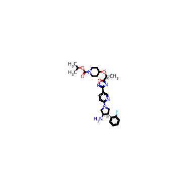 CC(C)OC(=O)N1CCC(O[C@H](C)c2nc(-c3ccc(N4C[C@H](c5ccccc5F)[C@@H](N)C4)nc3)no2)CC1